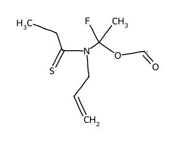 C=CCN(C(=S)CC)C(C)(F)O[C]=O